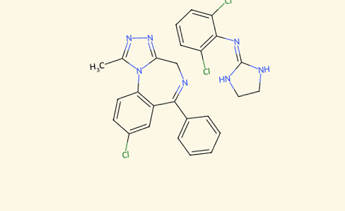 Cc1nnc2n1-c1ccc(Cl)cc1C(c1ccccc1)=NC2.Clc1cccc(Cl)c1N=C1NCCN1